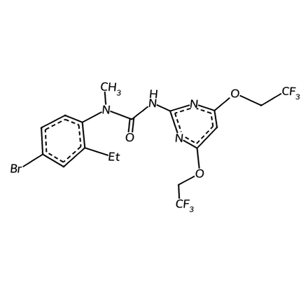 CCc1cc(Br)ccc1N(C)C(=O)Nc1nc(OCC(F)(F)F)cc(OCC(F)(F)F)n1